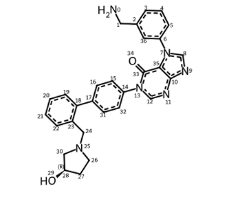 NCc1cccc(-n2cnc3ncn(-c4ccc(-c5ccccc5CN5CC[C@@H](O)C5)cc4)c(=O)c32)c1